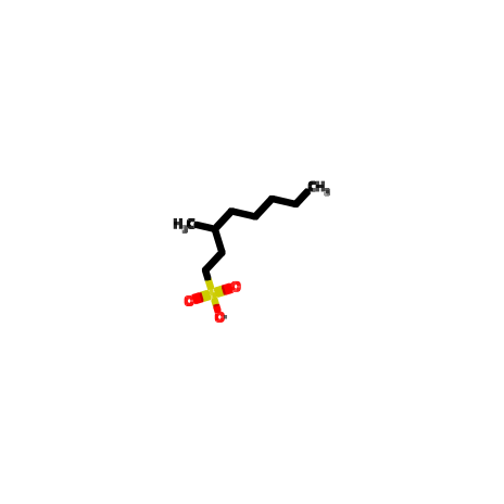 CCCCCC(C)CCS([O])(=O)=O